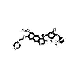 COc1cc2cc3c(Nc4ccc(Sc5nccn5C)c(Cl)c4)c(C#N)cnc3cc2cc1OCCN1CCOCC1